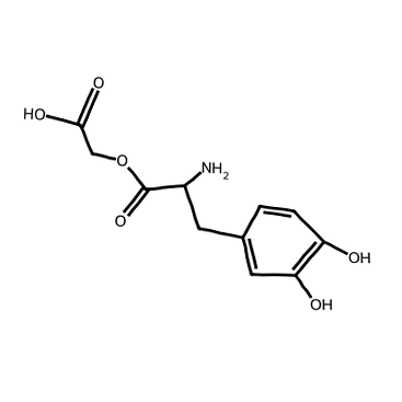 NC(Cc1ccc(O)c(O)c1)C(=O)OCC(=O)O